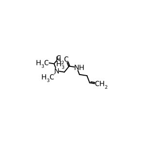 C=CCCNC(=C)CN(C)C(C)C